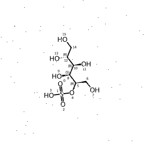 O=S(=O)(O)O[C@H](CO)[C@@H](O)[C@H](O)[C@H](O)CO